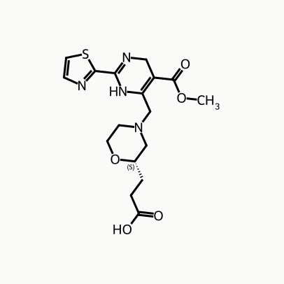 COC(=O)C1=C(CN2CCO[C@@H](CCC(=O)O)C2)NC(c2nccs2)=NC1